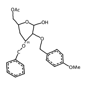 COc1ccc(COC2C(O)OC(COC(C)=O)C[C@H]2OCc2ccccc2)cc1